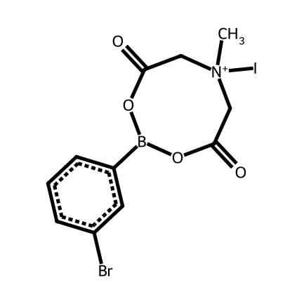 C[N+]1(I)CC(=O)OB(c2cccc(Br)c2)OC(=O)C1